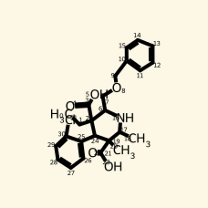 CCC1(C(=O)O)C(COCc2ccccc2)NC(C)C(C)(C(=O)O)C1c1ccccc1Cl